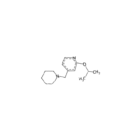 CC(C)Oc1cc(CN2CCCCC2)ccn1